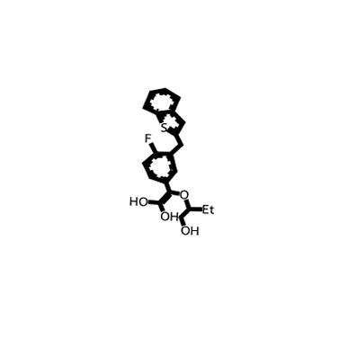 CCC(CO)OC(=C(O)O)c1ccc(F)c(Cc2cc3ccccc3s2)c1